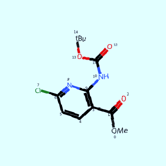 COC(=O)c1ccc(Cl)nc1NC(=O)OC(C)(C)C